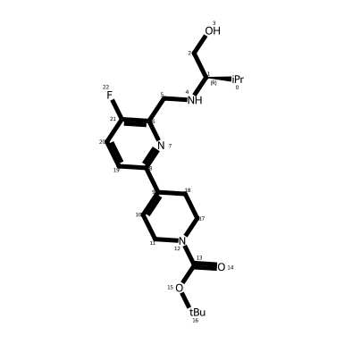 CC(C)[C@H](CO)NCc1nc(C2=CCN(C(=O)OC(C)(C)C)CC2)ccc1F